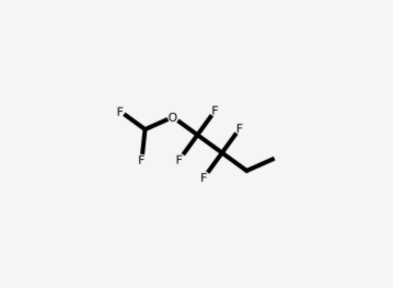 CCC(F)(F)C(F)(F)OC(F)F